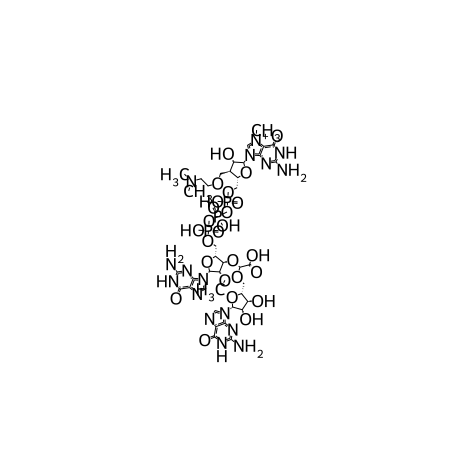 CO[C@@H]1[C@H](OC(OC[C@H]2O[C@@H](n3cnc4c(=O)[nH]c(N)nc43)[C@H](O)[C@@H]2O)C(=O)O)[C@@H](COP(=O)(O)OP(=O)(O)OP(=O)(O)OC[C@H]2OC(n3c[n+](C)c4c(=O)[nH]c(N)nc43)[C@H](O)[C@@H]2COCCN(C)C)O[C@H]1n1cnc2c(=O)[nH]c(N)nc21